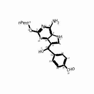 CCCCCOc1nc(N)c2[nH]cc(C(O)c3ccc(C=O)cc3)c2n1